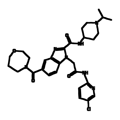 CC(C)N1CCC(NC(=O)c2nc3cc(C(=O)N4CCCOCC4)ccc3n2CC(=O)Nc2ccc(Cl)cn2)CC1